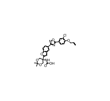 C=CCOc1ccc(-c2nc(-c3ccc4oc(C5(NC(=O)O)COC(C)(C)OC5)cc4c3)no2)cc1Cl